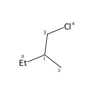 CCC(C)[CH]Cl